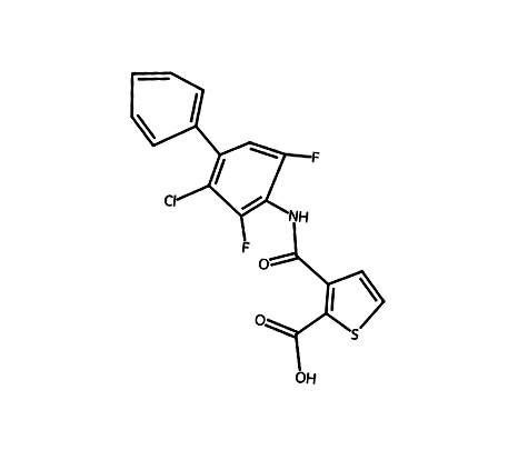 O=C(Nc1c(F)cc(-c2ccccc2)c(Cl)c1F)c1ccsc1C(=O)O